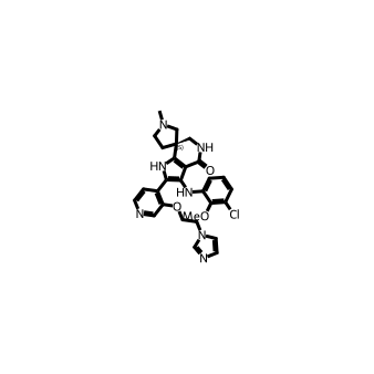 COc1c(Cl)cccc1Nc1c(-c2ccncc2OCCn2ccnc2)[nH]c2c1C(=O)NC[C@]21CCN(C)C1